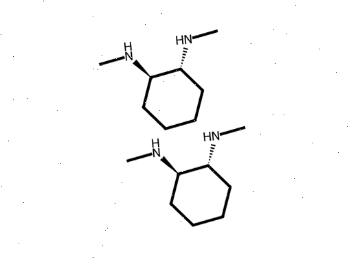 CN[C@@H]1CCCC[C@H]1NC.CN[C@@H]1CCCC[C@H]1NC